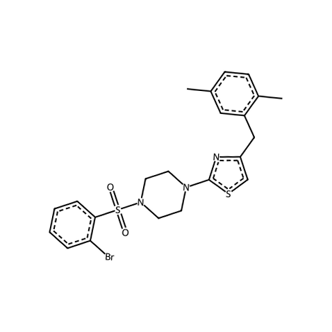 Cc1ccc(C)c(Cc2csc(N3CCN(S(=O)(=O)c4ccccc4Br)CC3)n2)c1